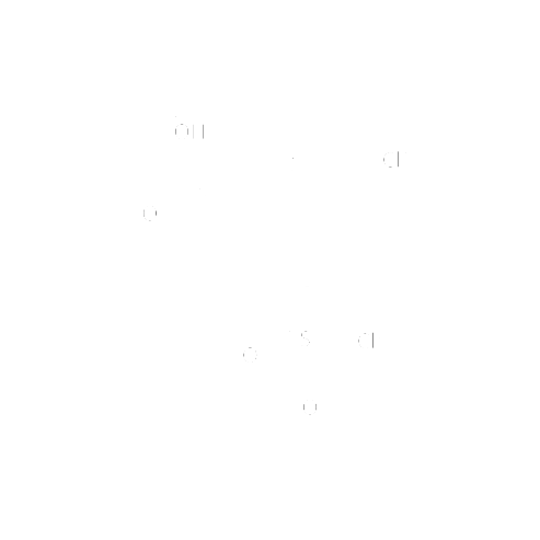 O=C(O)c1cc(Cl)cc(S(=O)(=O)Cl)c1